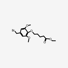 CCOC(=O)CCCCOc1c(OC)cc(CBr)cc1OC